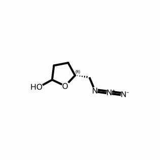 [N-]=[N+]=NC[C@H]1CCC(O)O1